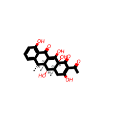 CC(=O)C1=C(O)C[C@@]2(C)[C@H](O)[C@]3(C)C(=C(O)[C@@]2(O)C1=O)C(=O)c1c(O)cccc1[C@H]3C